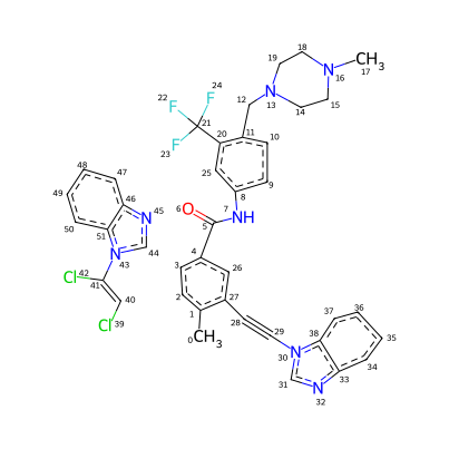 Cc1ccc(C(=O)Nc2ccc(CN3CCN(C)CC3)c(C(F)(F)F)c2)cc1C#Cn1cnc2ccccc21.ClC=C(Cl)n1cnc2ccccc21